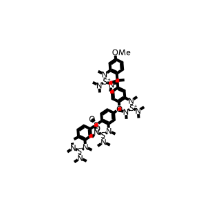 COc1ccc(C(C)(C)c2ccc(Oc3ccc(S(=O)(=O)c4ccc(C)c(N(C)[S+](N(C)C)N(C)C)c4)c(N(C)[S+](N(C)C)N(C)C)c3)c(N(C)[S+](N(C)C)N(C)C)c2)c(N(C)[S+](N(C)C)N(C)C)c1